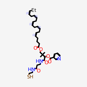 CC/C=C\C/C=C\C/C=C\C/C=C\C/C=C\CCCC(=O)OCC(C)(C)[C@@H](OC(=O)c1cccnc1)C(=O)NCCC(=O)NCCS